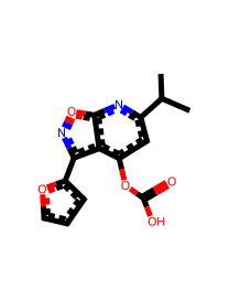 CC(C)c1cc(OC(=O)O)c2c(-c3ccco3)noc2n1